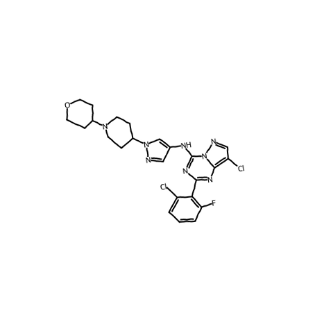 Fc1cccc(Cl)c1-c1nc(Nc2cnn(C3CCN(C4CCOCC4)CC3)c2)n2ncc(Cl)c2n1